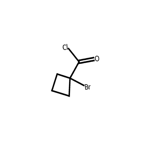 O=C(Cl)C1(Br)CCC1